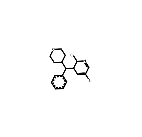 ClC1N=CC(Br)=CC1C(c1ccccc1)C1CCOCC1